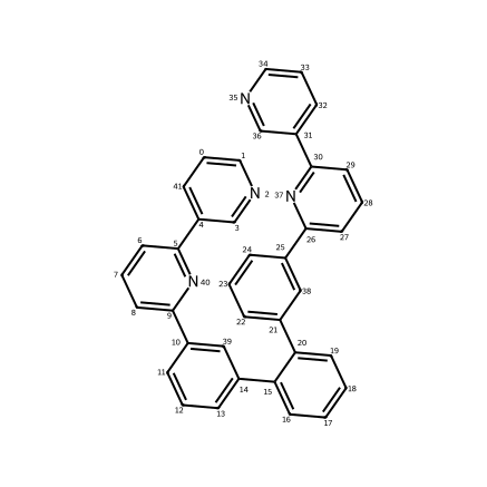 c1cncc(-c2cccc(-c3cccc(-c4ccccc4-c4cccc(-c5cccc(-c6cccnc6)n5)c4)c3)n2)c1